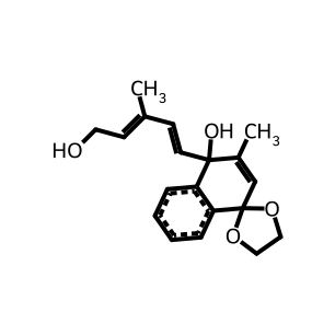 CC(C=CC1(O)C(C)=CC2(OCCO2)c2ccccc21)=CCO